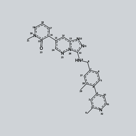 Cc1cc(-c2ccc(CNc3nnc4cc(-c5cccn(C)c5=O)cnn34)cc2C)ccn1